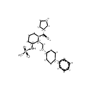 CS(=O)(=O)N[C@H]1CCCN(C(=O)[C@@H]2CCOC2)[C@H]1CO[C@H]1CC[C@@H](c2ccccc2)CC1